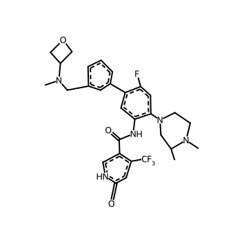 CC1CN(c2cc(F)c(-c3cccc(CN(C)C4COC4)c3)cc2NC(=O)c2c[nH]c(=O)cc2C(F)(F)F)CCN1C